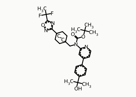 CC(C)(C)OC(=O)N(CC12CCC(c3noc(C(C)(F)F)n3)(CC1)CC2)c1cc(-c2ccc(C(C)(C)O)cc2)ccn1